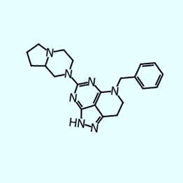 c1ccc(CN2CCc3n[nH]c4nc(N5CCN6CCCC6C5)nc2c34)cc1